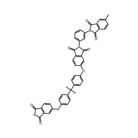 Cc1ccc2c(c1)C(=O)N(c1cccc(N3C(=O)c4ccc(Oc5ccc(C(C)(C)c6ccc(Oc7ccc8c(c7)C(=O)OC8=O)cc6)cc5)cc4C3=O)c1)C2=O